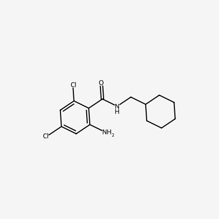 Nc1cc(Cl)cc(Cl)c1C(=O)NCC1CCCCC1